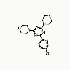 Clc1ccc(-c2nc(N3CCOCC3)nc(N3CCOCC3)n2)nc1